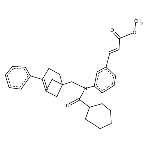 COC(=O)/C=C/c1cccc(N(CC23CCC(c4ccccc4)=C(C2)C3)C(=O)C2CCCCC2)c1